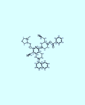 CN1CCCC1COc1nc(N2CCN(OC(=O)c3ccccc3)C(CC#N)C2)c2c(c1C#N)CN(c1cccc3ccccc13)CC2